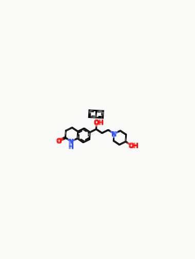 O=C1CCc2cc(C(O)CCN3CCC(O)CC3)ccc2N1.c1cc2ccc1-2